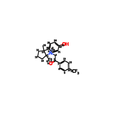 CCC1(N(C)CC(=O)c2ccc(C(F)(F)F)cc2)CCCC1(C)c1ccc(O)cc1